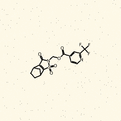 O=C(OCN1C(=O)C2=C(C3CCC2C3)S1(=O)=O)c1ccnc(C(F)(F)F)c1